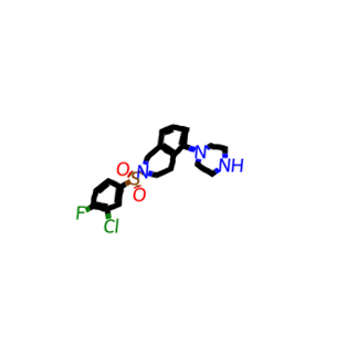 O=S(=O)(c1ccc(F)c(Cl)c1)N1CCc2c(cccc2N2CCNCC2)C1